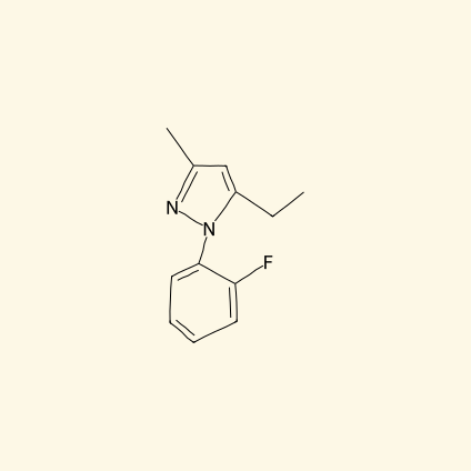 CCc1cc(C)nn1-c1ccccc1F